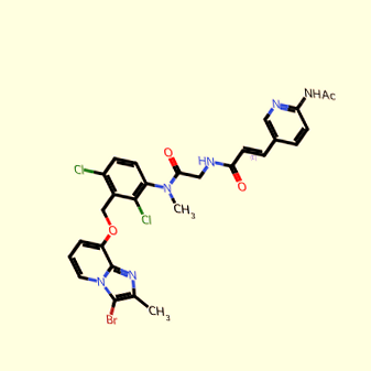 CC(=O)Nc1ccc(/C=C/C(=O)NCC(=O)N(C)c2ccc(Cl)c(COc3cccn4c(Br)c(C)nc34)c2Cl)cn1